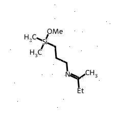 CCC(C)=NCCC[Si](C)(C)OC